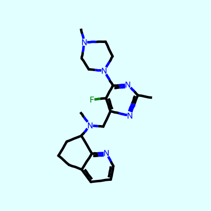 Cc1nc(CN(C)C2CCCc3cccnc32)c(F)c(N2CCN(C)CC2)n1